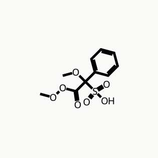 COOC(=O)C(OC)(c1ccccc1)S(=O)(=O)O